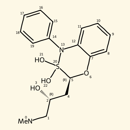 CNC[C@H](O)C[C@@H]1Oc2ccccc2N(c2ccccc2)S1(O)O